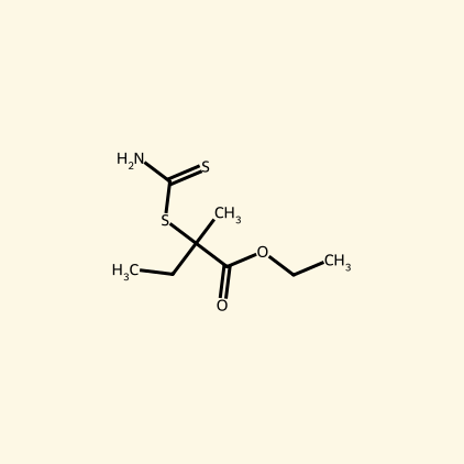 CCOC(=O)C(C)(CC)SC(N)=S